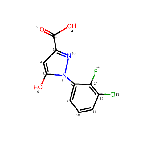 O=C(O)c1cc(O)n(-c2cccc(Cl)c2F)n1